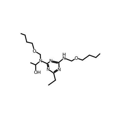 CCCCOCNc1nc(CC)nc(N(COCCCC)C(C)O)n1